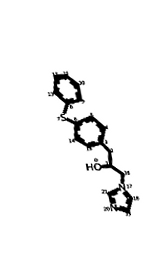 OC(Cc1ccc(Sc2ccccc2)cc1)Cn1ccnc1